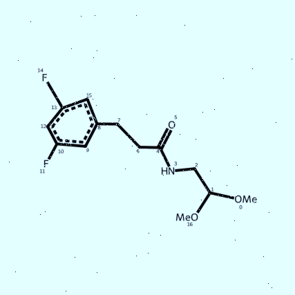 COC(CNC(=O)CCc1cc(F)cc(F)c1)OC